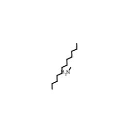 CCCCCCCCCCCC.CN